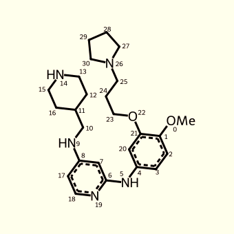 COc1ccc(Nc2cc(NCC3CCNCC3)ccn2)cc1OCCCN1CCCC1